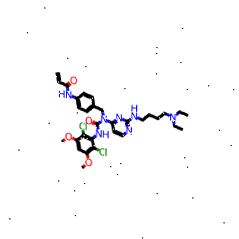 C=CC(=O)Nc1ccc(CN(C(=O)Nc2c(Cl)c(OC)cc(OC)c2Cl)c2ccnc(NCCCCN(CC)CC)n2)cc1